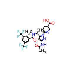 CC(=O)Nc1cc(C(C)N(C)C(=O)c2cc(C(F)(F)F)cc(C(F)(F)F)c2)n(-c2ccc(C(=O)O)cn2)n1